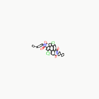 O=C1c2ccc3c4c(Cl)cc5c6c(cc(Cl)c(c7ccc(c2c37)C(=O)N1c1ccc(-c2ccccc2)cc1)c64)C(=O)N(c1ccc(-c2ccccc2)cc1)C5=O